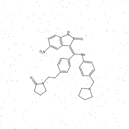 O=C1Nc2ccc([N+](=O)[O-])cc2C1=C(Nc1ccc(CN2CCCC2)cc1)c1ccc(CCN2CCCC2=O)cc1